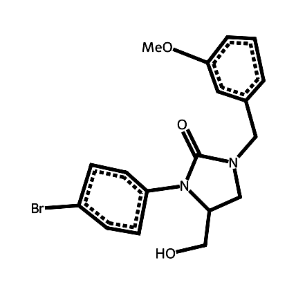 COc1cccc(CN2CC(CO)N(c3ccc(Br)cc3)C2=O)c1